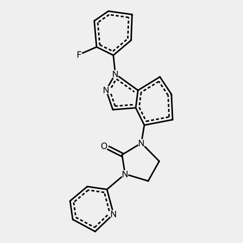 O=C1N(c2ccccn2)CCN1c1cccc2c1cnn2-c1ccccc1F